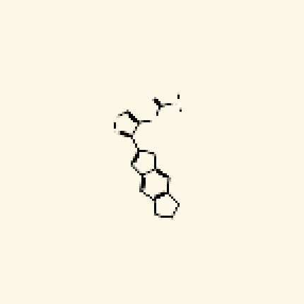 CN(C)C(=O)Nc1c[nH]nc1C1=Cc2cc3c(cc2C1)CCC3